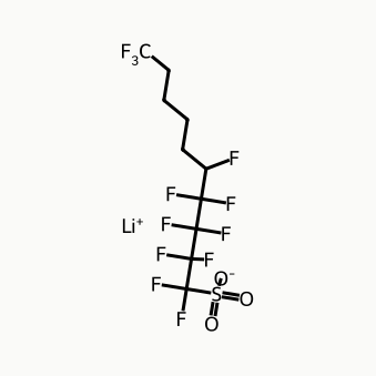 O=S(=O)([O-])C(F)(F)C(F)(F)C(F)(F)C(F)(F)C(F)CCCCC(F)(F)F.[Li+]